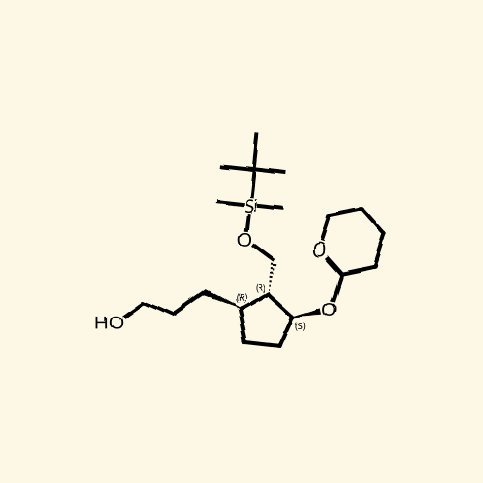 CC(C)(C)[Si](C)(C)OC[C@H]1[C@H](CCCO)CC[C@@H]1OC1CCCCO1